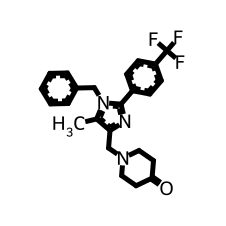 Cc1c(CN2CCC(=O)CC2)nc(-c2ccc(C(F)(F)F)cc2)n1Cc1ccccc1